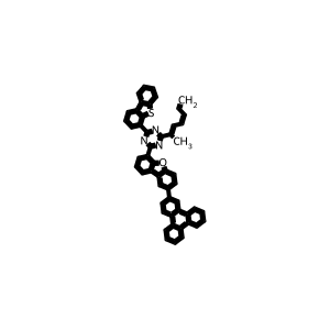 C=C/C=C\C=C(/C)c1nc(-c2cccc3c2oc2ccc(-c4ccc5c6ccccc6c6ccccc6c5c4)cc23)nc(-c2cccc3c2sc2ccccc23)n1